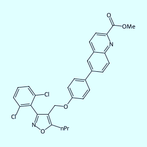 CCCc1onc(-c2c(Cl)cccc2Cl)c1COc1ccc(-c2ccc3nc(C(=O)OC)ccc3c2)cc1